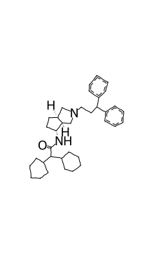 O=C(N[C@@H]1CC[C@H]2CN(CCC(c3ccccc3)c3ccccc3)C[C@H]21)C(C1CCCCC1)C1CCCCC1